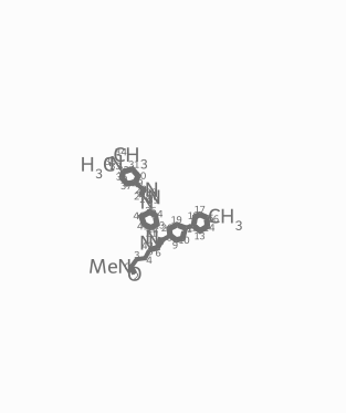 CNC(=O)CCc1cc(-c2ccc(-c3ccc(C)cc3)cc2)n(-c2ccc(-n3cc(-c4ccc(N(C)C)cc4)nn3)cc2)n1